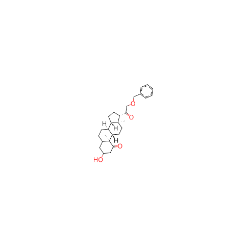 C[C@]12CC[C@H]3[C@@H](CCC4CC(O)CC(=O)[C@@]43C)[C@@H]1CC[C@@H]2C(=O)COCc1ccccc1